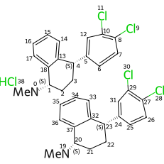 CN[C@H]1CC[C@@H](c2ccc(Cl)c(Cl)c2)c2ccccc21.CN[C@H]1CC[C@@H](c2ccc(Cl)c(Cl)c2)c2ccccc21.Cl